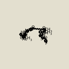 CC(=O)c1c(C)c2cnc(Nc3ccc(N4CCN(C(=O)CCCCCCCCCC(=O)N(C)[C@@H](C)C(=O)N[C@H](C(=O)N5CCC[C@H]5c5nc(C(=O)c6ccc(F)cc6)cs5)C5CCCCC5)CC4)cn3)nc2n(C2CCCC2)c1=O